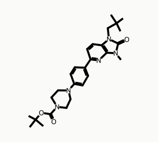 Cn1c(=O)n(CC(C)(C)C)c2ccc(-c3ccc(N4CCN(C(=O)OC(C)(C)C)CC4)cc3)nc21